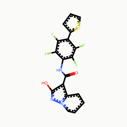 O=C(Nc1c(F)c(F)c(-c2cccs2)c(F)c1F)c1c(O)nn2ccccc12